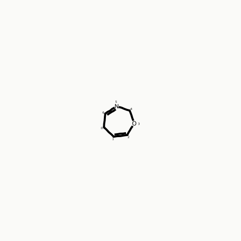 [CH]1C=COCN=C1